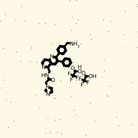 NCc1ccc(-c2nc3ccnc(CNC(=O)Cn4ccnc4)c3cc2-c2ccccc2)cc1.O=C(O)C(F)(F)F.O=C(O)C(F)(F)F